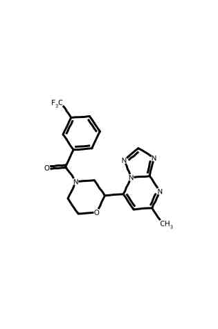 Cc1cc(C2CN(C(=O)c3cccc(C(F)(F)F)c3)CCO2)n2ncnc2n1